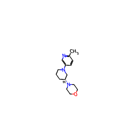 Cc1ccc(N2CCC[C@@H](N3CCOCC3)C2)cn1